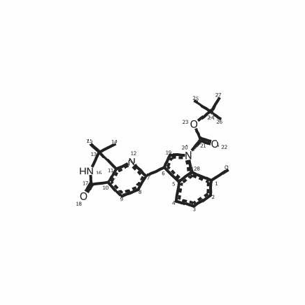 Cc1cccc2c(-c3ccc4c(n3)C(C)(C)NC4=O)cn(C(=O)OC(C)(C)C)c12